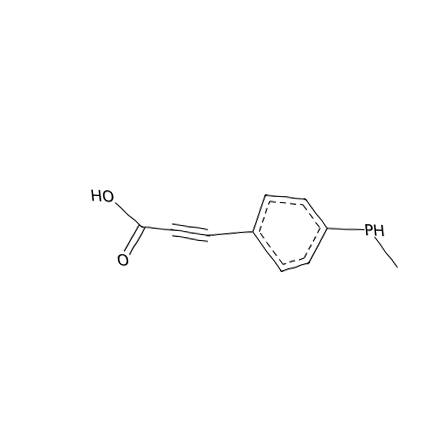 CPc1ccc(C#CC(=O)O)cc1